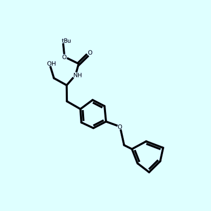 CC(C)(C)OC(=O)NC(CO)Cc1ccc(OCc2ccccc2)cc1